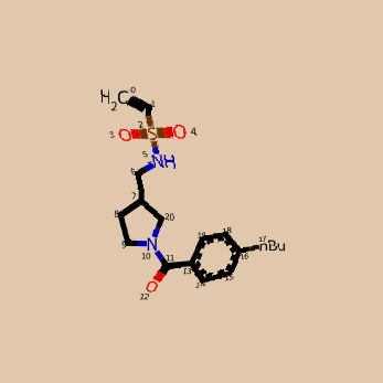 C=CS(=O)(=O)NCC1CCN(C(=O)c2ccc(CCCC)cc2)C1